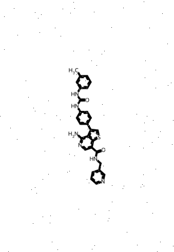 Cc1cccc(NC(=O)Nc2ccc(-c3csc4c(C(=O)NCc5cccnc5)cnc(N)c34)cc2)c1